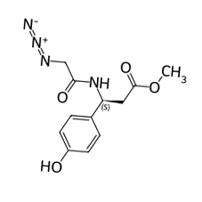 COC(=O)C[C@H](NC(=O)CN=[N+]=[N-])c1ccc(O)cc1